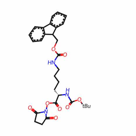 CC(C)(C)OC(=O)N[C@@H](CCCCNC(=O)OCC1c2ccccc2-c2ccccc21)C(=O)ON1C(=O)CCC1=O